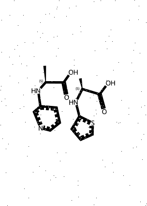 C[C@H](Nc1cccnc1)C(=O)O.C[C@H](Nc1cccs1)C(=O)O